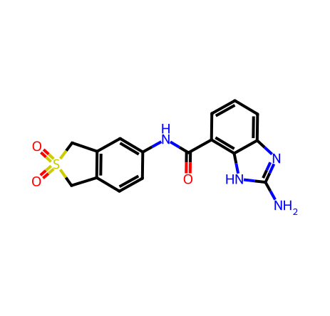 Nc1nc2cccc(C(=O)Nc3ccc4c(c3)CS(=O)(=O)C4)c2[nH]1